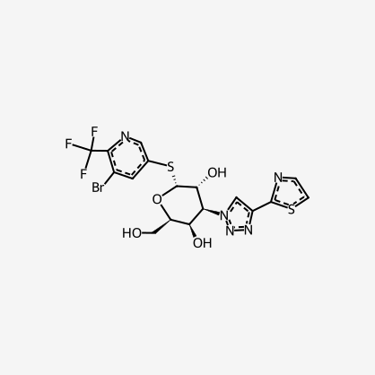 OC[C@H]1O[C@H](Sc2cnc(C(F)(F)F)c(Br)c2)[C@H](O)[C@@H](n2cc(-c3nccs3)nn2)[C@H]1O